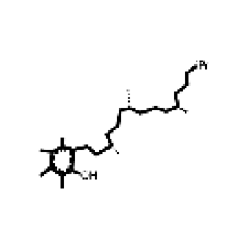 Cc1c(C)c(C)c(CC[C@@H](C)CCC[C@H](C)CCC[C@H](C)CCCC(C)C)c(O)c1C